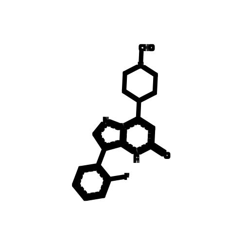 O=CN1CCC(c2cc(=O)[nH]c3c(-c4ccccc4F)cnn23)CC1